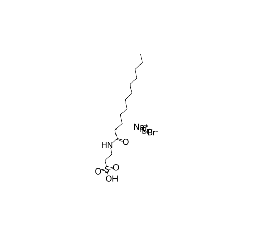 CCCCCCCCCCCC(=O)NCCS(=O)(=O)O.[Br-].[Br-].[K+].[Na+]